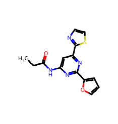 CCC(=O)Nc1cc(-c2nccs2)nc(-c2ccco2)n1